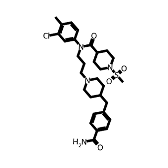 Cc1ccc(N(CCCN2CCC(Cc3ccc(C(N)=O)cc3)CC2)C(=O)C2CCN(S(C)(=O)=O)CC2)cc1Cl